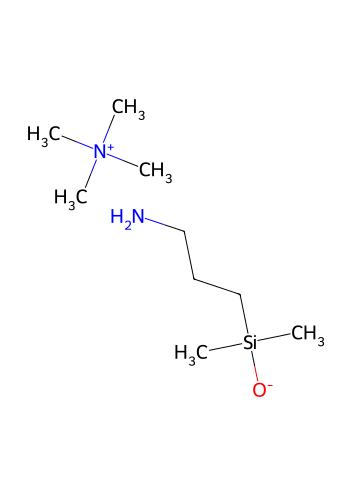 C[N+](C)(C)C.C[Si](C)([O-])CCCN